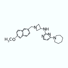 COc1ccc2cc(CN3CC(Nc4nccc(N5CCCCCC5)n4)C3)ccc2c1